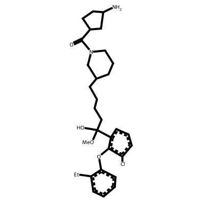 CCc1ccccc1Oc1c(Cl)cccc1C(O)(CCCCC1CCCN(C(=O)C2CCC(N)C2)C1)OC